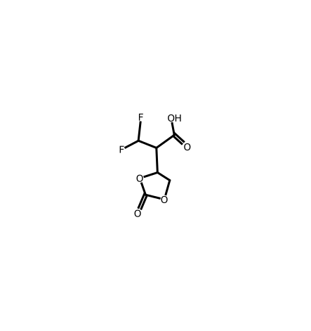 O=C1OCC(C(C(=O)O)C(F)F)O1